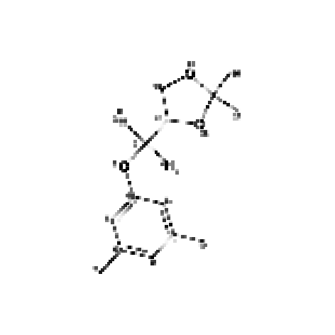 [2H]C([2H])(Oc1cc(C)cc(C)c1)C1COC(C)(C)O1